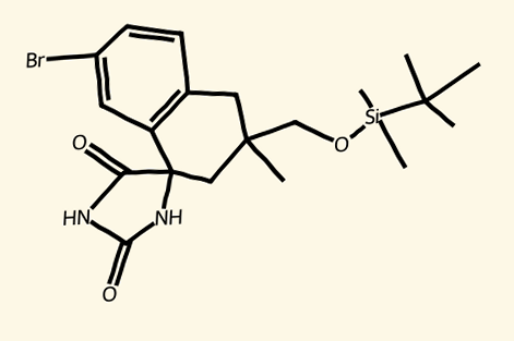 CC1(CO[Si](C)(C)C(C)(C)C)Cc2ccc(Br)cc2C2(C1)NC(=O)NC2=O